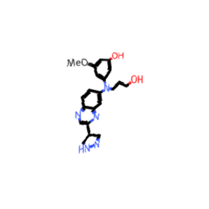 COc1cc(O)cc(N(CCCO)c2ccc3ncc(C4C=NNC4)nc3c2)c1